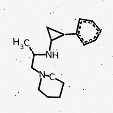 CC(CN1CCCCC1)NC1CC1c1ccccc1